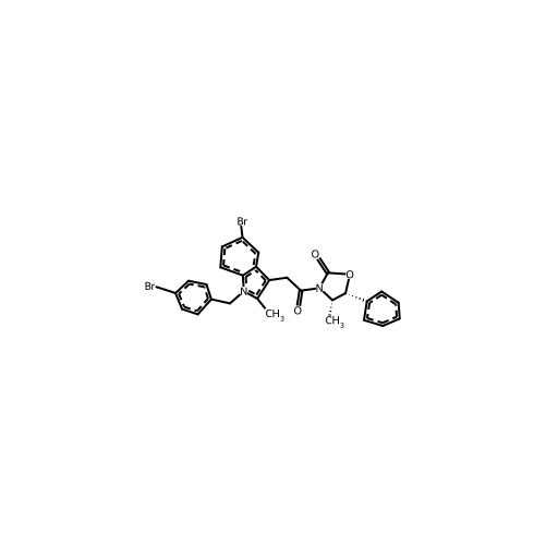 Cc1c(CC(=O)N2C(=O)O[C@H](c3ccccc3)[C@@H]2C)c2cc(Br)ccc2n1Cc1ccc(Br)cc1